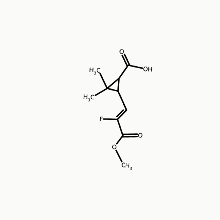 COC(=O)C(F)=CC1C(C(=O)O)C1(C)C